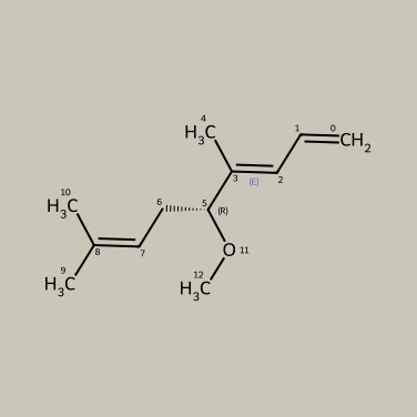 C=C/C=C(\C)[C@@H](CC=C(C)C)OC